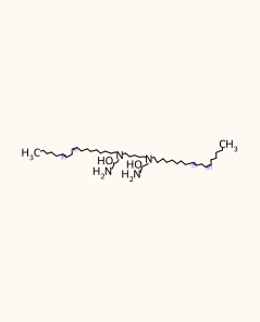 CCCCC/C=C\C/C=C/CCCCCCCCN(CCCCCN(CCCCCCCC/C=C\C/C=C/CCCCC)CC(O)CN)CC(O)CN